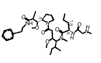 CCC(C)C(C(CC(=O)N1CCC[C@H]1C(OC)C(C)C(=O)NCCc1ccccc1)OC)N(C)C(=O)[C@@H](NC(=O)CNC)[C@@H](C)CC